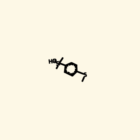 CSc1ccc([Si](C)(C)O)cc1